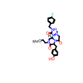 COCCN1C[C@H]2N(C(=O)CN(C)N2C(=O)NCc2ccc(F)cc2)C(Cc2ccc(O)cc2)C1=O